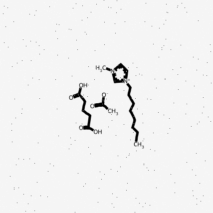 CC(=O)[O-].CCCCCCCC[n+]1ccn(C)c1.O=C(O)CCCC(=O)O